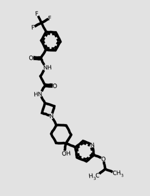 CC(C)Oc1ccc(C2(O)CCC(N3CC(NC(=O)CNC(=O)c4cccc(C(F)(F)F)c4)C3)CC2)cn1